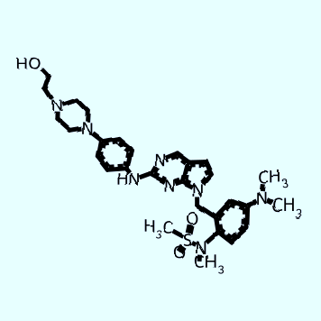 CN(C)c1ccc(N(C)S(C)(=O)=O)c(Cn2ccc3cnc(Nc4ccc(N5CCN(CCO)CC5)cc4)nc32)c1